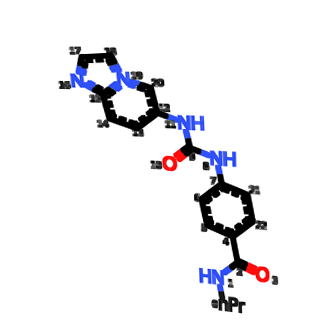 CCCNC(=O)c1ccc(NC(=O)Nc2ccc3nccn3c2)cc1